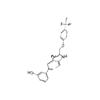 C=C(/C=c1/nc(COc2ccc(C(F)(F)F)cc2)[nH]/c1=C/C)c1cccc(O)c1